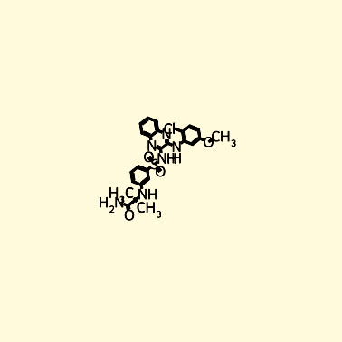 COc1ccc(Cl)c(Nc2nc3ccccc3nc2NS(=O)(=O)c2cccc(NC(C)(C)C(N)=O)c2)c1